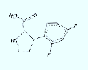 O=C(O)[C@H]1NCCC1c1ccc(F)cc1F